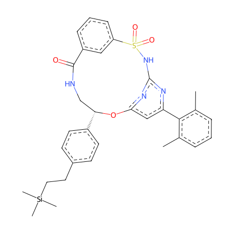 Cc1cccc(C)c1-c1cc2nc(n1)NS(=O)(=O)c1cccc(c1)C(=O)NC[C@@H](c1ccc(CC[Si](C)(C)C)cc1)O2